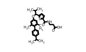 Cc1cc(OC(c2ccc(C(=O)NCCC(=O)O)s2)C(C)C)cc(C)c1-c1ccc(C(C)C)cc1